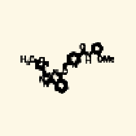 COC1CCC[C@@H]1NC(=O)c1ccc(COc2nn3c(-c4cc(C)on4)nnc3c3ccccc23)nc1